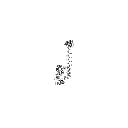 [2H]C([2H])([2H])C([2H])([2H])CCCCCCCCCCCCCCC(F)(F)CCCOP(=O)(O)CO[C@H](C)Cn1cnc2c(N)ncnc21